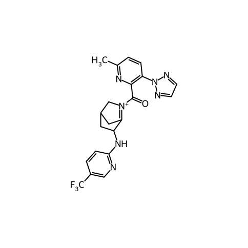 Cc1ccc(-n2nccn2)c(C(=O)[N+]2=C3CC(CC3Nc3ccc(C(F)(F)F)cn3)C2)n1